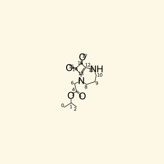 CC(C)OC(=O)CN1CCCNc2c1c(=O)c2=O